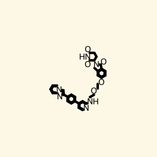 O=C1CCC(N2Cc3cc(OCCOCCNc4cc(-c5ccc(-c6cn7ccccc7n6)cc5)ccn4)ccc3C2=O)C(=O)N1